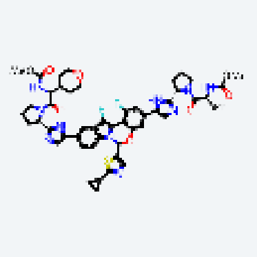 COC(=O)N[C@H](C(=O)N1CCC[C@H]1c1ncc(-c2cc(F)c3c(c2)OC(c2cnc(C4CC4)s2)n2c-3c(F)c3cc(-c4cnc([C@@H]5CCCN5C(=O)[C@@H](NC(=O)OC)C5CCOCC5)[nH]4)ccc32)[nH]1)C(C)C